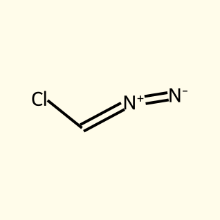 [N-]=[N+]=CCl